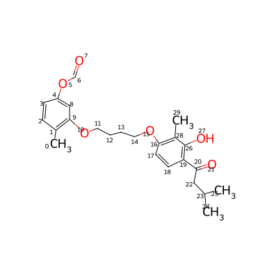 Cc1ccc(OC=O)cc1OCCCCOc1ccc(C(=O)CC(C)C)c(O)c1C